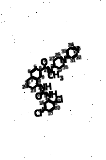 CN(C(=O)c1ccc2c(c1)C(NC(=O)Nc1cc(Cl)ccc1Cl)CCC2)C1CCN(c2ccncc2)CC1